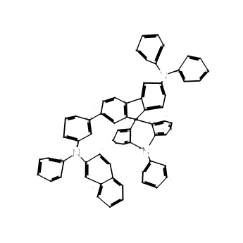 c1ccc(N(c2ccccc2)c2ccc3c(c2)-c2ccc(-c4cccc(N(c5ccccc5)c5ccc6ccccc6c5)c4)cc2C32c3ccccc3N(c3ccccc3)c3ccccc32)cc1